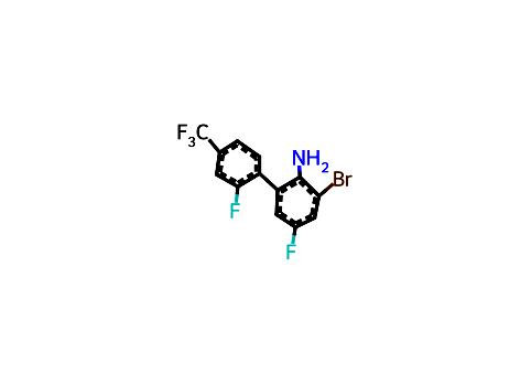 Nc1c(Br)cc(F)cc1-c1ccc(C(F)(F)F)cc1F